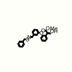 COC(=O)C(=CO)c1ccccc1Oc1cccc(C=NOCc2ccccc2)c1